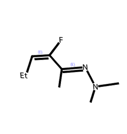 CC/C=C(F)\C(C)=N\N(C)C